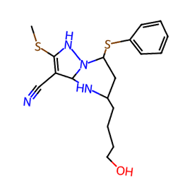 CSC1=C(C#N)C2NC(CCCCO)CC(Sc3ccccc3)N2N1